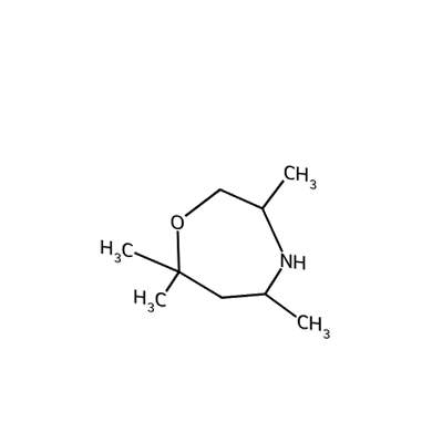 CC1COC(C)(C)CC(C)N1